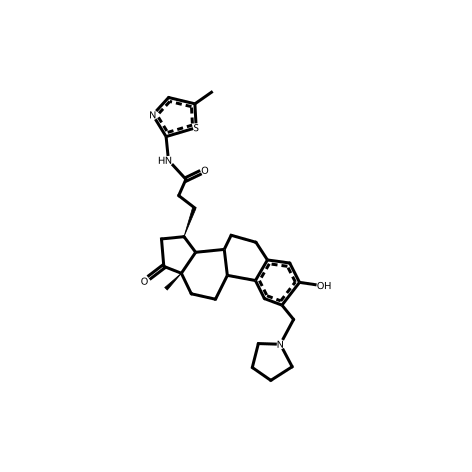 Cc1cnc(NC(=O)CC[C@@H]2CC(=O)[C@@]3(C)CCC4c5cc(CN6CCCC6)c(O)cc5CCC4C23)s1